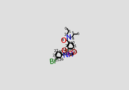 CCCN(CCC)C(=O)c1ccc(OC)c(S(=O)(=O)Nc2cccc(Br)c2)c1